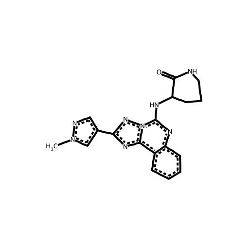 Cn1cc(-c2nc3c4ccccc4nc(NC4CCCNC4=O)n3n2)cn1